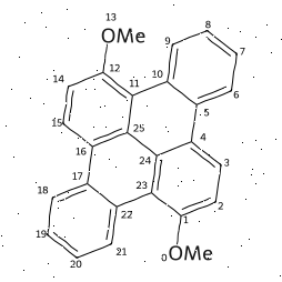 COc1ccc2c3ccccc3c3c(OC)ccc4c5ccccc5c1c2c43